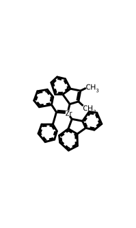 CC1=C(C)[CH]([Zr](=[C](c2ccccc2)c2ccccc2)[CH]2c3ccccc3-c3ccccc32)c2ccccc21